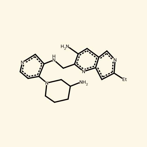 CCc1cc2nc(CNc3cnccc3N3CCCC(N)C3)c(N)cc2cn1